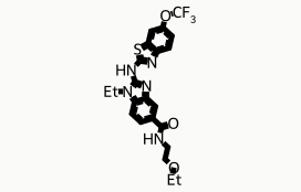 CCOCCNC(=O)c1ccc2c(c1)nc(Nc1nc3ccc(OC(F)(F)F)cc3s1)n2CC